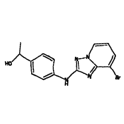 CC(O)c1ccc(Nc2nc3c(Br)cccn3n2)cc1